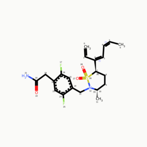 C=C/C(=C\C=C/C)[C@H]1CC[C@H](C)N(Cc2cc(F)c(CC(N)=O)cc2F)S1(=O)=O